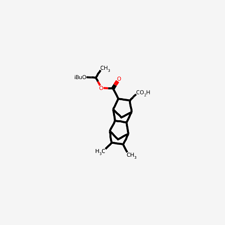 CC(C)COC(C)OC(=O)C1C2CC(C1C(=O)O)C1C3CC(C(C)C3C)C21